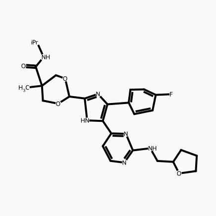 CC(C)NC(=O)C1(C)COC(c2nc(-c3ccc(F)cc3)c(-c3ccnc(NCC4CCCO4)n3)[nH]2)OC1